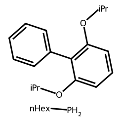 CC(C)Oc1cccc(OC(C)C)c1-c1ccccc1.CCCCCCP